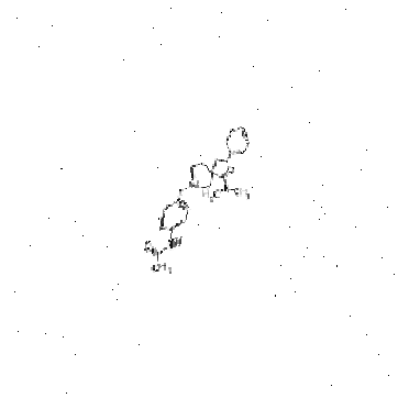 CC(=O)Nc1ccc(CN2CCC(CCc3ccccc3)(C(=O)N(C)C)CC2)cc1